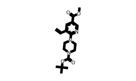 C=Cc1cc(C(=O)OC)cnc1N1CCN(C(=O)OC(C)(C)C)CC1